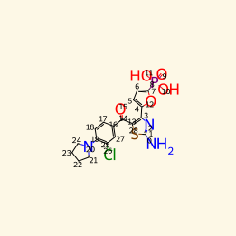 Nc1nc(-c2ccc(P(=O)(O)O)o2)c(C(=O)c2ccc(N3CCCC3)c(Cl)c2)s1